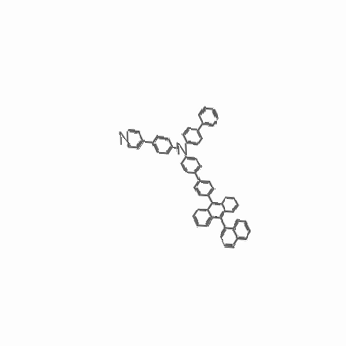 c1ccc(-c2ccc(N(c3ccc(-c4ccncc4)cc3)c3ccc(-c4ccc(-c5c6ccccc6c(-c6cccc7ccccc67)c6ccccc56)cc4)cc3)cc2)cc1